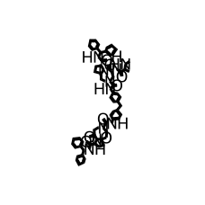 CNC(C)C(=O)N[C@H]1CN(C(=O)Nc2ccc(Cc3ccc(NC(=O)N4CCC(=O)N5C(CCC5C(=O)NC(c5ccccc5)c5ccccc5)OC4)cc3)cc2)CCC2CC[C@@H](C(=O)NC(c3ccccc3)c3ccccc3)N2C1=O